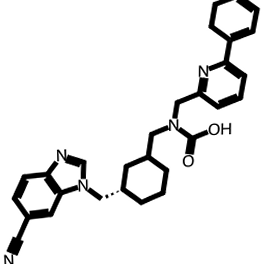 N#Cc1ccc2ncn(C[C@H]3CCCC(CN(Cc4cccc(C5=CC=CCC5)n4)C(=O)O)C3)c2c1